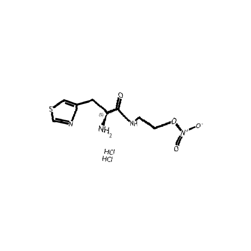 Cl.Cl.N[C@@H](Cc1cscn1)C(=O)NCCO[N+](=O)[O-]